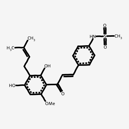 COc1cc(O)c(CC=C(C)C)c(O)c1C(=O)/C=C/c1ccc(NS(C)(=O)=O)cc1